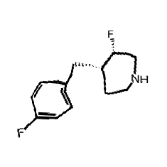 Fc1ccc(C[C@H]2CCNC[C@H]2F)cc1